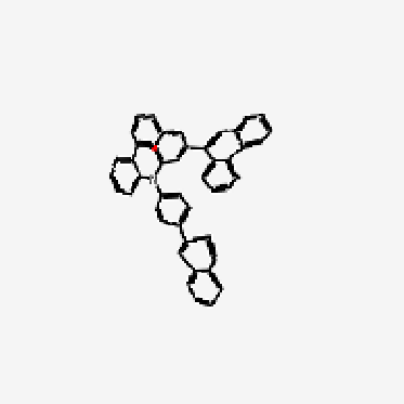 c1ccc(-c2ccccc2N(c2ccc(-c3ccc4ccccc4c3)cc2)c2cccc(-c3cc4ccccc4c4ccccc34)c2)cc1